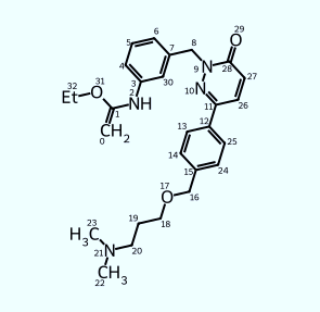 C=C(Nc1cccc(Cn2nc(-c3ccc(COCCCN(C)C)cc3)ccc2=O)c1)OCC